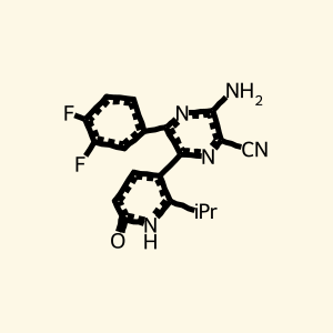 CC(C)c1[nH]c(=O)ccc1-c1nc(C#N)c(N)nc1-c1ccc(F)c(F)c1